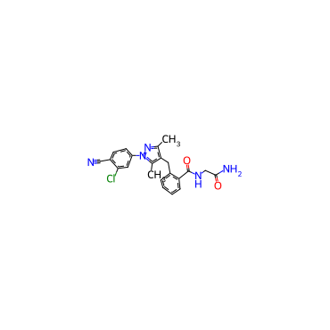 Cc1nn(-c2ccc(C#N)c(Cl)c2)c(C)c1Cc1ccccc1C(=O)NCC(N)=O